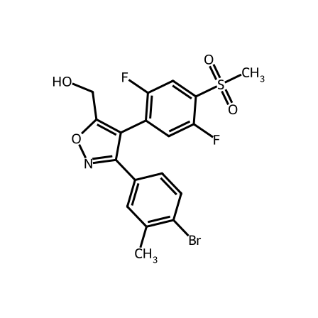 Cc1cc(-c2noc(CO)c2-c2cc(F)c(S(C)(=O)=O)cc2F)ccc1Br